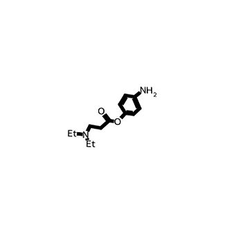 CCN(CC)CCC(=O)Oc1ccc(N)cc1